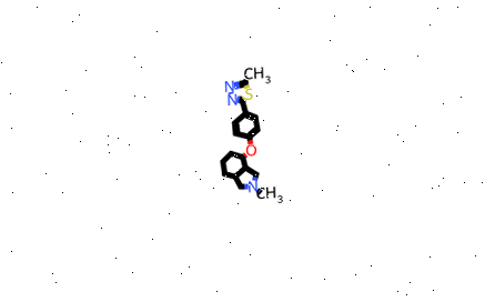 Cc1nnc(-c2ccc(OC3CCCC4CN(C)CC43)cc2)s1